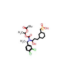 CC(OC(=O)N(C(O)CCC1CCCC(C[PH](=O)O)C1)[C@@H](C)c1ccc(Cl)c(Cl)c1)OC(=O)C(C)(C)C